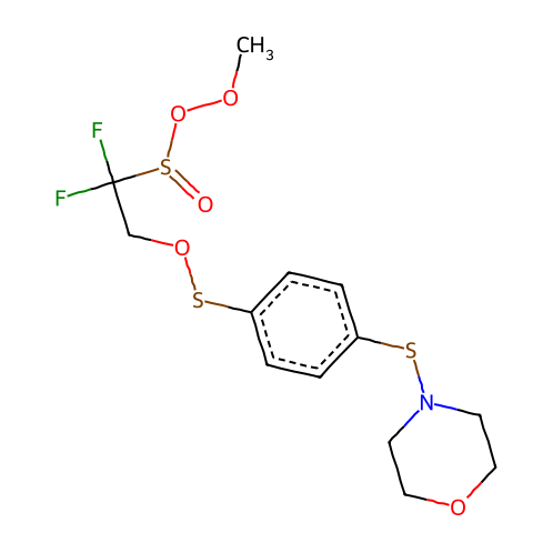 COOS(=O)C(F)(F)COSc1ccc(SN2CCOCC2)cc1